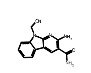 N#CCn1c2ccccc2c2cc(C(N)=O)c(N)nc21